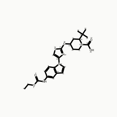 CCOC(=O)Nc1ccc2c(ccn2-c2csc(OC3CCN(C(=O)O)C(C(C)(C)C)C3)n2)c1